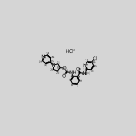 Cl.O=C(Nc1ccccc1C(=O)Nc1ccc(Cl)cn1)OC1CCN(c2ccncc2)C1